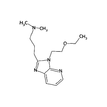 CCOCCn1c(CCCN(C)C)nc2cccnc21